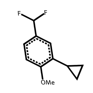 COc1ccc(C(F)F)cc1C1CC1